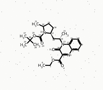 CCOC(=O)c1nc2ccccc2n([C@@H](C)C[C@@H]2CCC(C)N2C(=O)OC(C)(C)C)c1=O